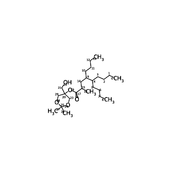 CCCCC(CCCC)C(CCCC)CC(C)C(=O)OC1(CO)COC(C)(C)OC1